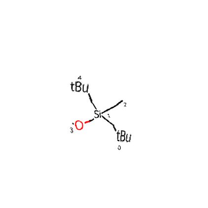 CC(C)(C)[Si](C)([O])C(C)(C)C